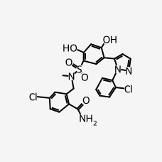 CN(Cc1cc(Cl)ccc1C(N)=O)S(=O)(=O)c1cc(-c2ccnn2-c2ccccc2Cl)c(O)cc1O